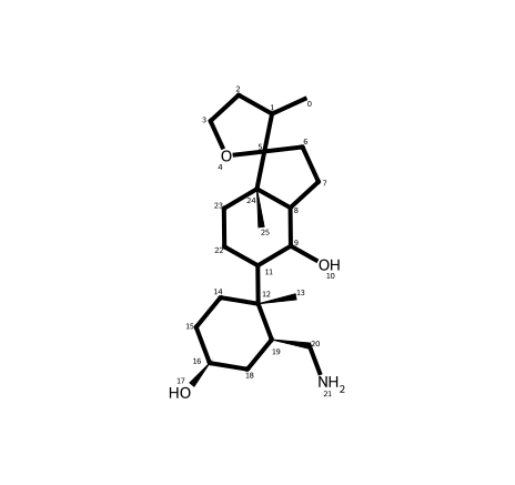 CC1CCOC12CCC1C(O)C([C@@]3(C)CC[C@H](O)C[C@@H]3CN)CC[C@@]12C